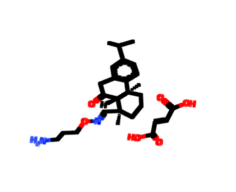 CC(C)c1ccc2c(c1)CC(=O)[C@H]1[C@](C)(/C=N/OCCCN)CCC[C@]21C.O=C(O)/C=C/C(=O)O